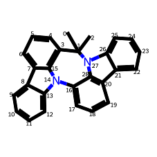 CC1(C)c2cccc3c4ccccc4n(c23)-c2cccc3c4ccccc4n1c23